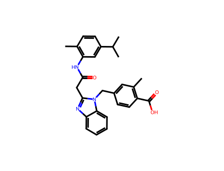 Cc1ccc(C(C)C)cc1NC(=O)Cc1nc2ccccc2n1Cc1ccc(C(=O)O)c(C)c1